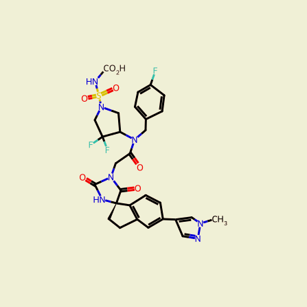 Cn1cc(-c2ccc3c(c2)CC[C@]32NC(=O)N(CC(=O)N(Cc3ccc(F)cc3)C3CN(S(=O)(=O)NC(=O)O)CC3(F)F)C2=O)cn1